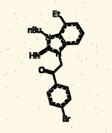 CCCCn1c(=N)n(CC(=O)c2ccc(Br)cc2)c2cccc(CC)c21